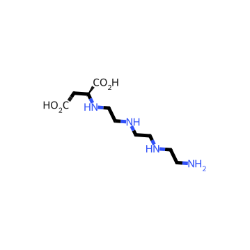 NCCNCCNCCN[C@@H](CC(=O)O)C(=O)O